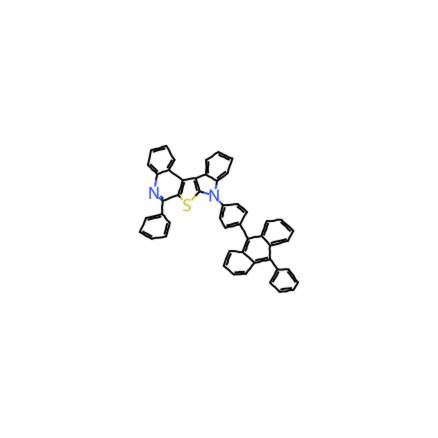 c1ccc(-c2c3ccccc3c(-c3ccc(-n4c5ccccc5c5c6c(sc54)c(-c4ccccc4)nc4ccccc46)cc3)c3ccccc23)cc1